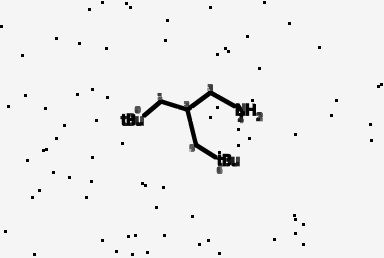 CC(C)(C)CC(CN)CC(C)(C)C